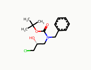 CC(C)(C)OC(=O)N(Cc1ccccc1)C[C@@H](O)CCl